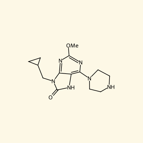 COc1nc(N2CCNCC2)c2[nH]c(=O)n(CC3CC3)c2n1